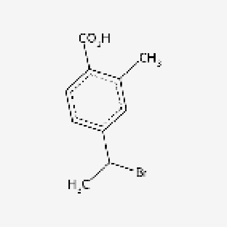 Cc1cc(C(C)Br)ccc1C(=O)O